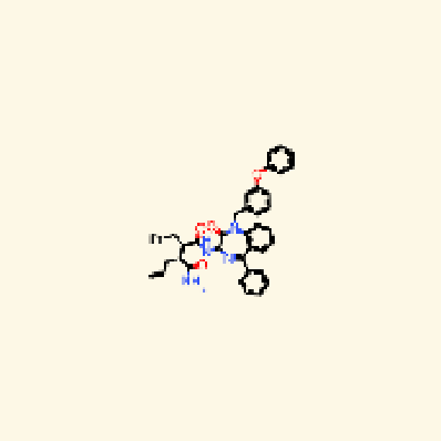 C=CC[C@H](C(N)=O)[C@@H](CC(C)C)C(=O)NC1N=C(c2ccccc2)c2ccccc2N(Cc2cccc(Oc3ccccc3)c2)C1=O